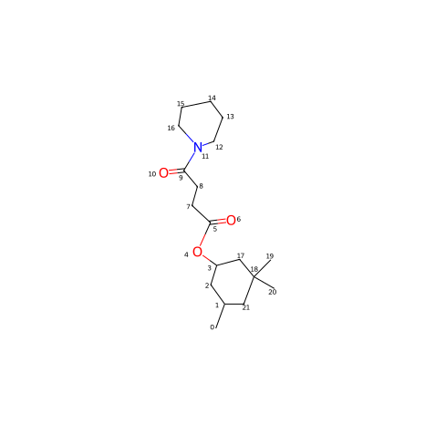 CC1CC(OC(=O)CCC(=O)N2CCCCC2)CC(C)(C)C1